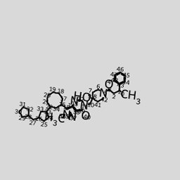 CC(CC(=O)N1CCC(O)(Cn2cnc3c(C4CCCCCC(C5CCC(CC6CCCC6)C5)C4)n(C)nc3c2=O)CC1)c1ccccc1